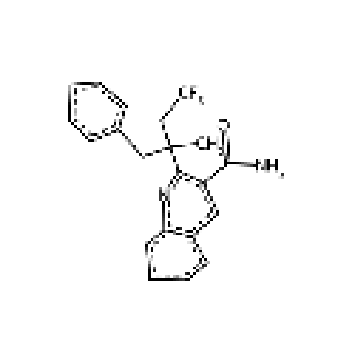 CC(Cc1ccccc1)(CC(F)(F)F)c1nc2ccccc2cc1C(N)=O